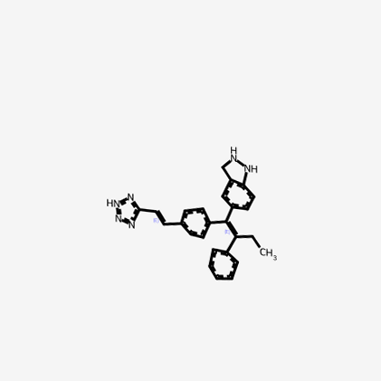 CC/C(=C(/c1ccc(/C=C/c2nn[nH]n2)cc1)c1ccc2c(c1)CNN2)c1ccccc1